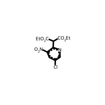 CCOC(=O)C(C(=O)OCC)c1ncc(Cl)cc1[N+](=O)[O-]